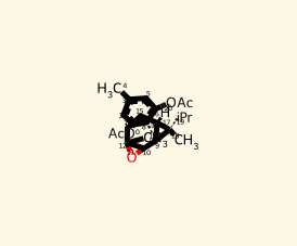 CC(=O)Oc1cc(C)cc(OC(C)=O)c1[C@]12C3OC3(C)CC[C@@H]1[C@]2(C)C(C)C